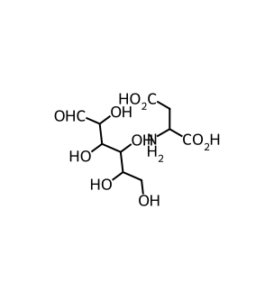 NC(CC(=O)O)C(=O)O.O=CC(O)C(O)C(O)C(O)CO